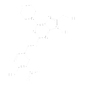 CCc1nc2c(N3CCOCC3)nc(SCc3ccc(C)c([N+](=O)[O-])c3)nc2n1C